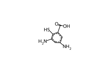 Nc1cc(N)c(S)c(C(=O)O)c1